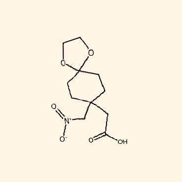 O=C(O)CC1(C[N+](=O)[O-])CCC2(CC1)OCCO2